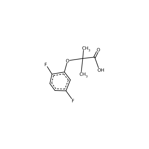 CC(C)(Oc1cc(F)ccc1F)C(=O)O